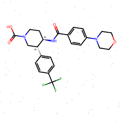 O=C(N[C@@H]1CCN(C(=O)O)C[C@H]1c1ccc(C(F)(F)F)cc1)c1ccc(N2CCOCC2)cc1